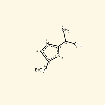 CCOC(=O)c1nc(C(C)N)ns1